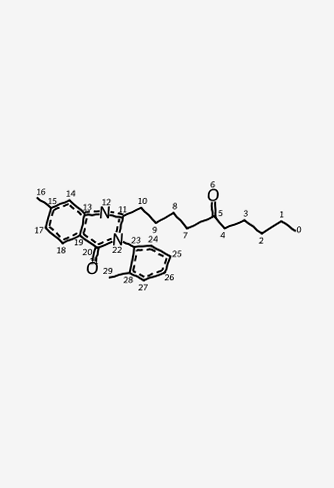 CCCCCC(=O)CCCCc1nc2cc(C)ccc2c(=O)n1-c1ccccc1C